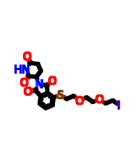 O=C1CCC(N2C(=O)c3cccc(SCCOCCOCCI)c3C2=O)C(=O)N1